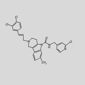 Cc1ccc2c3c(n(C(=O)NCc4ccnc(Cl)c4)c2c1)CCN(CC=Cc1ccc(Cl)c(Cl)c1)C3